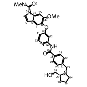 CNC(=O)n1ccc2cc(Oc3ccnc(NC(=O)c4ccc(CN5CCC[C@H]5CO)cc4)c3)c(OC)cc21